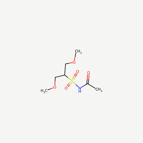 COCC(COC)S(=O)(=O)NC(C)=O